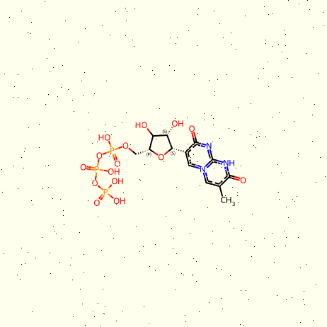 Cc1cn2cc([C@@H]3O[C@H](COP(=O)(O)OP(=O)(O)OP(=O)(O)O)C(O)[C@@H]3O)c(=O)nc2[nH]c1=O